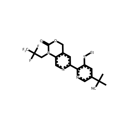 CCSc1cc(C(C)(C)C#N)cnc1-c1cc2c(cn1)N(CC(F)(F)C(F)(F)F)C(=O)OC2